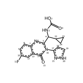 O=C(O)NC(c1nc2ccc(F)cc2c(=O)n1-c1cc[nH]n1)C1CC1